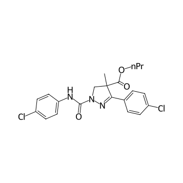 CCCOC(=O)C1(C)CN(C(=O)Nc2ccc(Cl)cc2)N=C1c1ccc(Cl)cc1